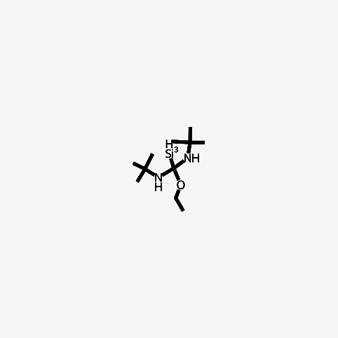 CCOC([SiH3])(NC(C)(C)C)NC(C)(C)C